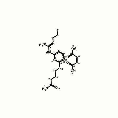 CCCN=C(N)Nc1ccnc(SCCCC(N)=O)n1.O=C(O)/C=C\C(=O)O